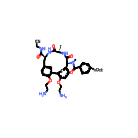 CCCCCCCCc1ccc(C(=O)N(C)[C@@H]2C(=O)N[C@@H](C)C(=O)N[C@H](C(=O)NCC#N)Cc3ccc(OCCN)c(c3)-c3cc2ccc3OCCN)cc1